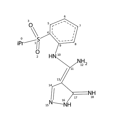 CC(C)S(=O)(=O)c1ccccc1N/C(N)=C1\C=NNC1=N